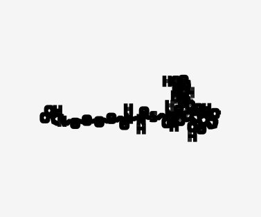 COc1cccc2c1C(=O)c1c(O)c3c(c(O)c1C2=O)C[C@@](O)(C(=O)NNC(=O)CCSCC(=O)NCCNC(=O)CCOCCOCCOCCOCCN1CCC(C(=O)O)CC1)C[C@@H]3O[C@H]1C[C@H]2[C@H](O[C@@H]3[C@@H](O)OCCN32)[C@H](C)O1